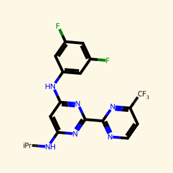 CC(C)Nc1cc(Nc2cc(F)cc(F)c2)nc(-c2nccc(C(F)(F)F)n2)n1